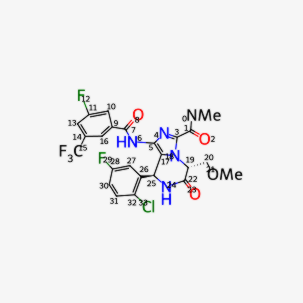 CNC(=O)c1nc(NC(=O)c2cc(F)cc(C(F)(F)F)c2)c2n1[C@H](COC)C(=O)N[C@H]2c1cc(F)ccc1Cl